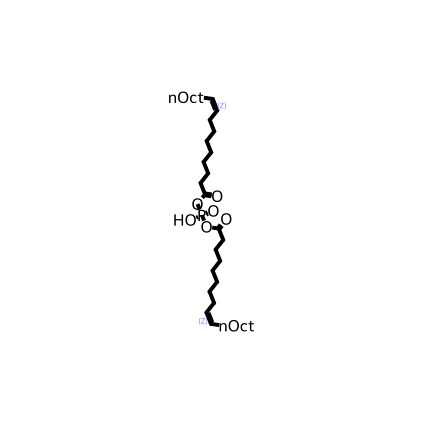 CCCCCCCC/C=C\CCCCCCCC(=O)OP(=O)(O)OC(=O)CCCCCCC/C=C\CCCCCCCC